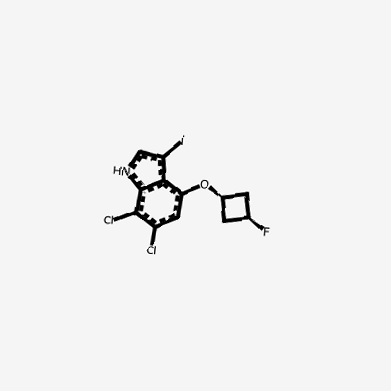 F[C@H]1C[C@@H](Oc2cc(Cl)c(Cl)c3[nH]cc(I)c23)C1